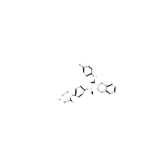 CN1CCN(c2ccc(NC(=O)[C@H]3Cc4ccccc4CN3C(=O)Nc3ccc(Cl)cc3)cc2)C(=O)C1